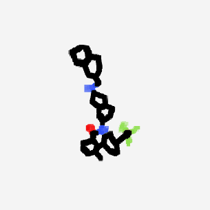 Cc1cccc(C(=O)Nc2ccc3c(c2)CC(NCc2ccc4ccccc4c2)C3)c1-c1ccc(C(F)(F)F)cc1